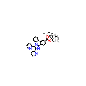 CC1(C)OB(c2ccc3c(c2)c2ccccc2n2c(-c4ccccn4)c(-c4ccccn4)nc32)OC1(C)C